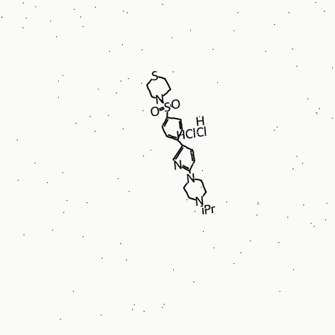 CC(C)N1CCN(c2ccc(-c3ccc(S(=O)(=O)N4CCSCC4)cc3)cn2)CC1.Cl.Cl